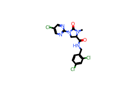 CN1C(=O)N(c2ncc(Cl)cn2)CC1C(=O)NCc1ccc(Cl)cc1Cl